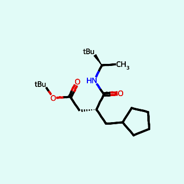 C[C@@H](NC(=O)[C@@H](CC(=O)OC(C)(C)C)CC1CCCC1)C(C)(C)C